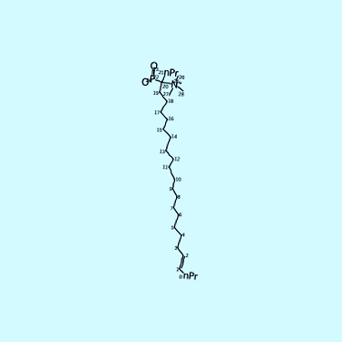 CCCC=CCCCCCCCCCCCCCCCCCC(CCC)(P(=O)=O)[N+](C)(C)C